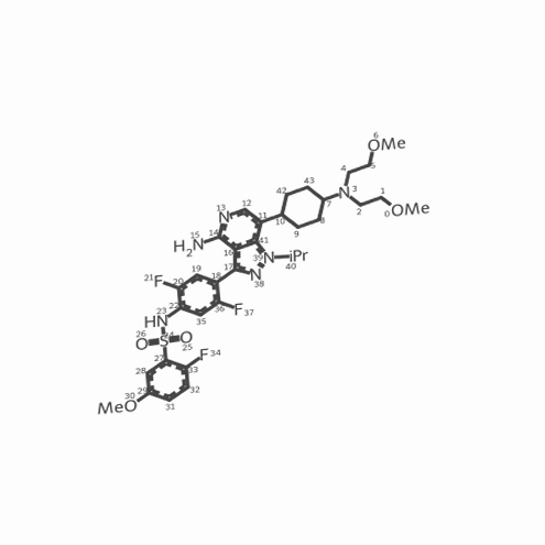 COCCN(CCOC)C1CCC(c2cnc(N)c3c(-c4cc(F)c(NS(=O)(=O)c5cc(OC)ccc5F)cc4F)nn(C(C)C)c23)CC1